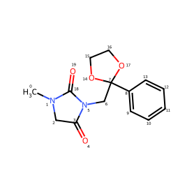 CN1CC(=O)N(CC2(c3ccccc3)OCCO2)C1=O